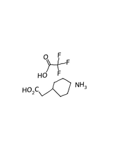 N.O=C(O)C(F)(F)F.O=C(O)CC1CCCCC1